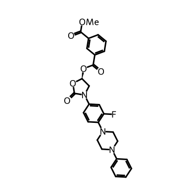 COC(=O)c1cccc(C(=O)O[C@H]2CN(c3ccc(N4CCN(c5ccccc5)CC4)c(F)c3)C(=O)O2)c1